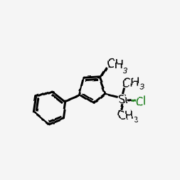 CC1=CC(c2ccccc2)=CC1[Si](C)(C)Cl